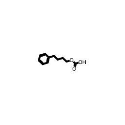 O=C(O)OCCCCc1ccccc1